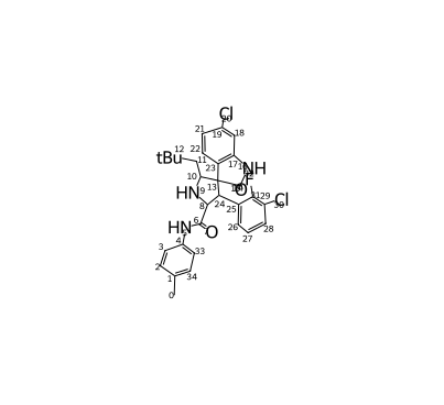 Cc1ccc(NC(=O)C2NC(CC(C)(C)C)C3(C(=O)Nc4cc(Cl)ccc43)C2c2cccc(Cl)c2F)cc1